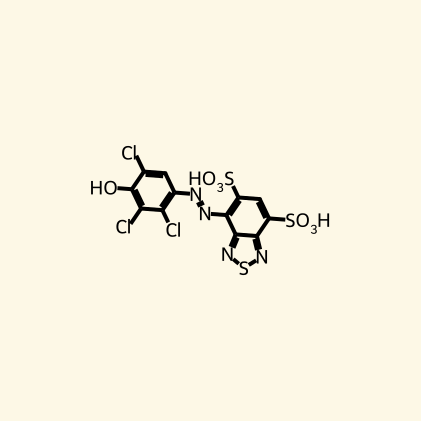 O=S(=O)(O)c1cc(S(=O)(=O)O)c2nsnc2c1/N=N/c1cc(Cl)c(O)c(Cl)c1Cl